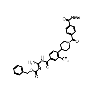 CNC(=O)c1ccc(C(=O)N2CCC(c3ccc(C(=O)NC(N)=NC(=O)OCc4ccccc4)cc3C(F)(F)F)CC2)cc1